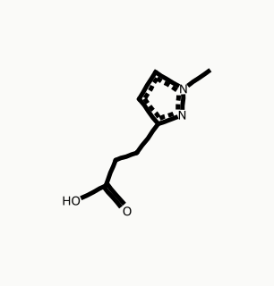 Cn1ccc(CCC(=O)O)n1